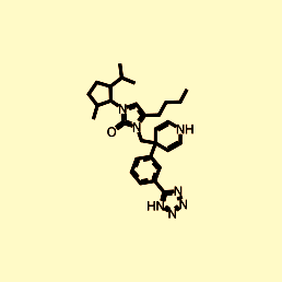 CCCCc1cn(C2C(C)CCC2C(C)C)c(=O)n1CC1(c2cccc(-c3nnn[nH]3)c2)C=CNC=C1